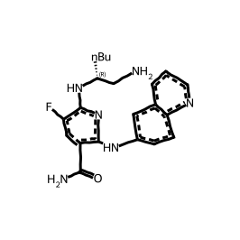 CCCC[C@H](CN)Nc1nc(Nc2ccc3ncccc3c2)c(C(N)=O)cc1F